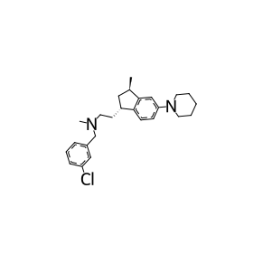 C[C@@H]1C[C@@H](CCN(C)Cc2cccc(Cl)c2)c2ccc(N3CCCCC3)cc21